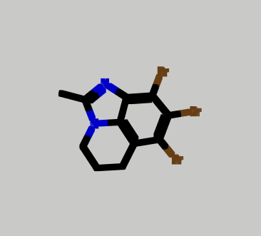 Cc1nc2c(Br)c(Br)c(Br)c3c2n1CCC3